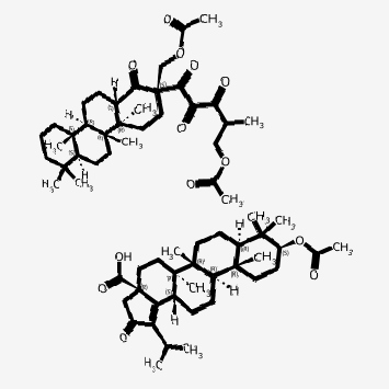 CC(=O)OCC(C)C(=O)C(=O)C(=O)[C@]1(COC(C)=O)CC[C@]2(C)[C@H](CC[C@@H]3[C@@]4(C)CCCC(C)(C)[C@@H]4CC[C@]32C)C1=O.CC(=O)O[C@H]1CC[C@]2(C)[C@H]3CC[C@@H]4C5=C(C(C)C)C(=O)C[C@]5(C(=O)O)CC[C@@]4(C)[C@]3(C)CC[C@H]2C1(C)C